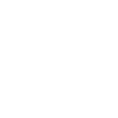 Nc1ncccc1-c1ccc(CC2(c3ncccc3F)CCC2)nn1